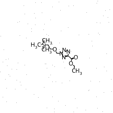 CCOC(=O)c1nnn(COCC[Si](C)(C)C)n1